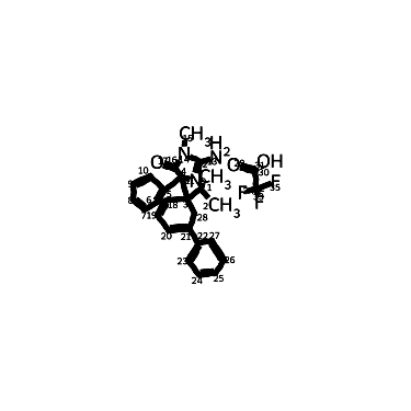 CC(C)C1(C2(c3ccccc3)N=C(N)N(C)C2=O)C=CC=C(c2ccccc2)C1.O=C(O)C(F)(F)F